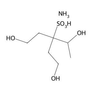 CC(O)C(CCO)(CCO)S(=O)(=O)O.N